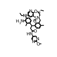 CCNc1ccc(C(CC(=O)Nc2cnc(OC)nc2)c2ccc(C)c(CN3C[C@@H](CC)Oc4ncccc4[S+]3[O-])c2)c(C)c1N